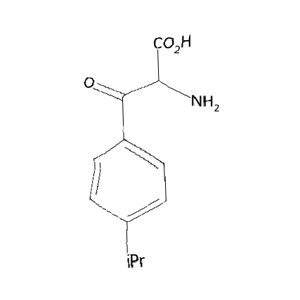 CC(C)c1ccc(C(=O)C(N)C(=O)O)cc1